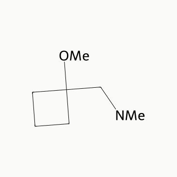 CNCC1(OC)CCC1